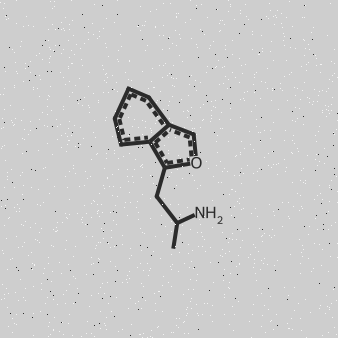 CC(N)Cc1occ2ccccc12